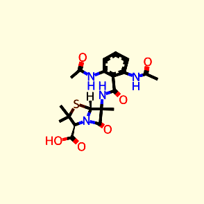 CC(=O)Nc1cccc(NC(C)=O)c1C(=O)NC1(C)C(=O)N2[C@@H](C(=O)O)C(C)(C)S[C@@H]21